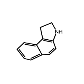 c1ccc2c3c(ccc2c1)NCC3